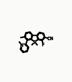 Cc1ccc2c(c1-c1cccc[n+]1C)[Si](C)(C)c1c-2ccc(C#N)c1F